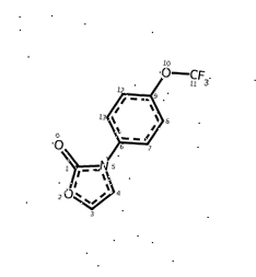 O=c1occn1-c1ccc(OC(F)(F)F)cc1